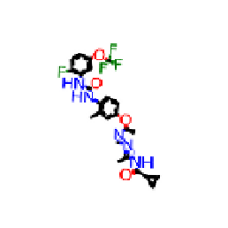 C=C(/N=C\N=C(/C)NC(=O)C1CC1)Oc1ccc(NC(=O)Nc2cc(OC(F)(F)F)ccc2F)c(C)c1